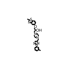 Cc1cccc(-n2ncc(CN3CCN(C[C@@H](O)COc4ccc5sc(C)nc5c4)CC3)n2)c1